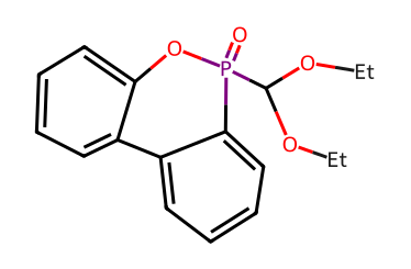 CCOC(OCC)P1(=O)Oc2ccccc2-c2ccccc21